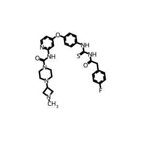 CN1CC(N2CCN(C(=O)Nc3cc(Oc4ccc(NC(=S)NC(=O)Cc5ccc(F)cc5)cc4)ccn3)CC2)C1